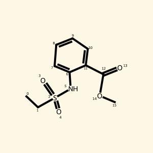 CCS(=O)(=O)Nc1ccccc1C(=O)OC